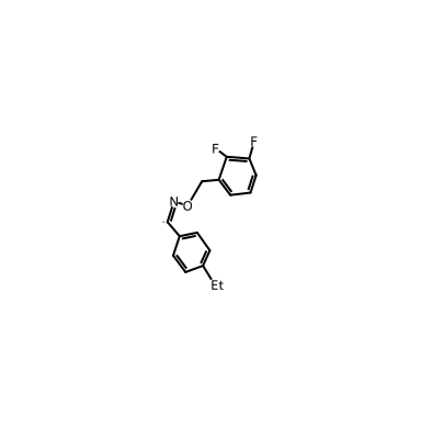 CCc1ccc(/[C]=N\OCc2cccc(F)c2F)cc1